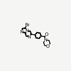 O=C(c1ccc(-c2cn3c(Br)cnc3cn2)cc1)N1CCOCC1